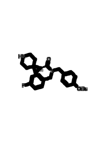 CC(C)COc1ccc(CN(Cc2ccc(F)cc2)C(=O)[C@@H]2CC23CCNCC3)cc1